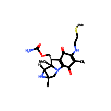 CO[C@@]12[C@H](COC(N)=O)C3=C(C(=O)C(C)=C(NCCSSC)C3=O)N1C[C@@H]1N[C@@H]12